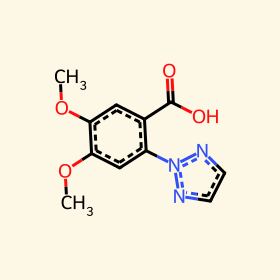 COc1cc(C(=O)O)c(-n2nccn2)cc1OC